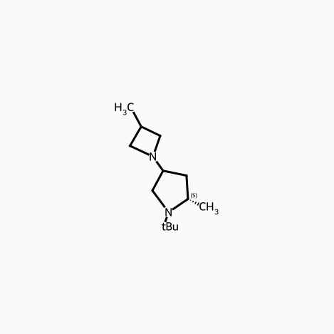 CC1CN(C2C[C@H](C)N(C(C)(C)C)C2)C1